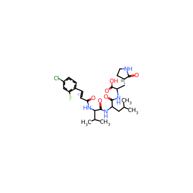 CC(C)CC(NC(=O)C(NC(=O)/C=C/c1ccc(Cl)cc1F)C(C)C)C(=O)NC(C[C@@H]1CCNC1=O)C(=O)O